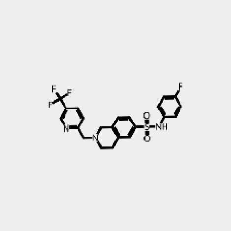 O=S(=O)(Nc1ccc(F)cc1)c1ccc2c(c1)CCN(Cc1ccc(C(F)(F)F)cn1)C2